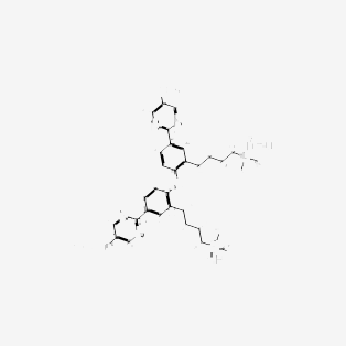 CCCCCCCCc1cnc(-c2ccc(Oc3ccc(-c4ncc(CCCCCCCC)cn4)cc3CCCC[Si](C)(C)CCCC)c(CCCC[Si](C)(C)CCCC)c2)nc1